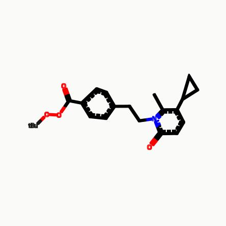 Cc1c(C2CC2)ccc(=O)n1CCc1ccc(C(=O)OOC(C)(C)C)cc1